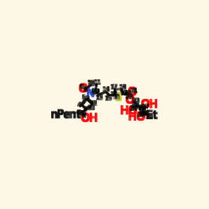 CCCCC[C@H](O)c1ccc(N2C(=O)CC[C@@H]2CCCc2ccc(C(=O)OC[C@H](O)[C@@H](O)[C@H](O)CC)s2)cc1